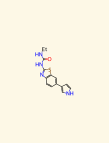 CCNC(=O)Nc1nc2ccc(-c3cc[nH]c3)cc2s1